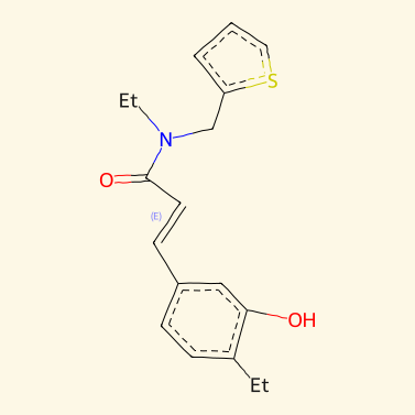 CCc1ccc(/C=C/C(=O)N(CC)Cc2cccs2)cc1O